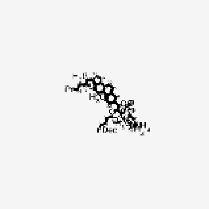 CCCCCCCCCCCCCC(=O)OC(CO)C(OP(=O)([O-])OCC[N+](C)(C)C)C1CC[C@@]2(C)C(=CCC3C2CC[C@@]2(C)C3CC[C@@H]2[C@H](C)CCCC(C)C)C1